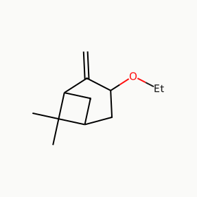 C=C1C(OCC)CC2CC1C2(C)C